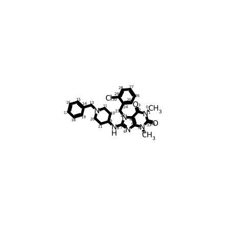 Cn1c(=O)c2c(nc(NC3CCN(Cc4ccccc4)CC3)n2Cc2ccccc2Cl)n(C)c1=O